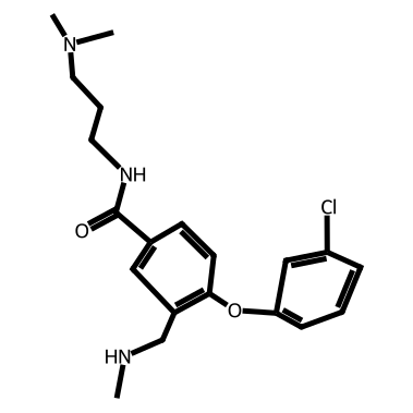 CNCc1cc(C(=O)NCCCN(C)C)ccc1Oc1cccc(Cl)c1